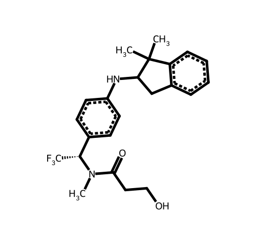 CN(C(=O)CCO)[C@@H](c1ccc(NC2Cc3ccccc3C2(C)C)cc1)C(F)(F)F